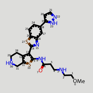 COCCNCCC(=O)Nc1sc2c(c1-c1nc3cc(-c4ccn[nH]4)ccc3s1)CCNC2